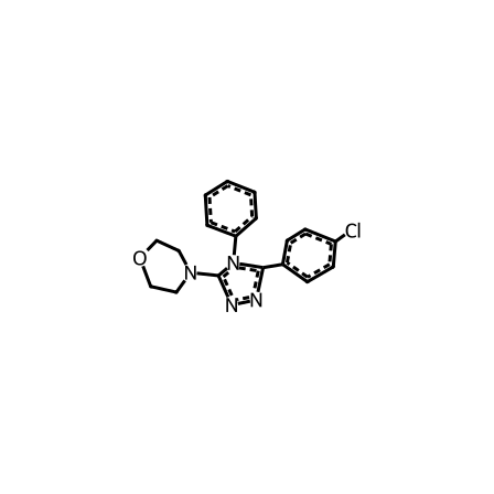 Clc1ccc(-c2nnc(N3CCOCC3)n2-c2ccccc2)cc1